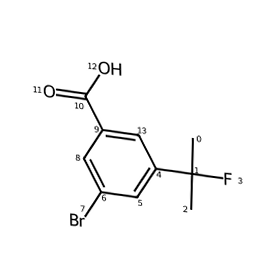 CC(C)(F)c1cc(Br)cc(C(=O)O)c1